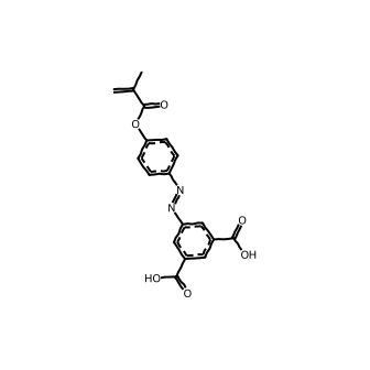 C=C(C)C(=O)Oc1ccc(N=Nc2cc(C(=O)O)cc(C(=O)O)c2)cc1